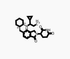 CCC(N[C@H]1CCCC[C@@H]1Cc1ccc2c(c1)CN(C1CCC(=O)NC1=O)C2=O)C1CC1